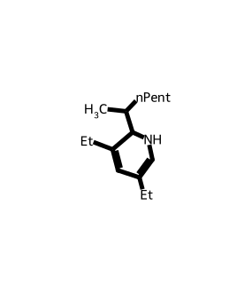 CCCCCC(C)C1NC=C(CC)C=C1CC